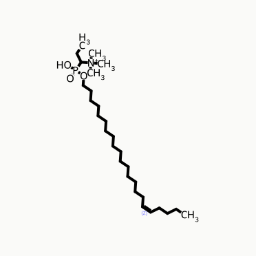 CCCC/C=C\CCCCCCCCCCCCCCCCOP(=O)(O)C(CC)[N+](C)(C)C